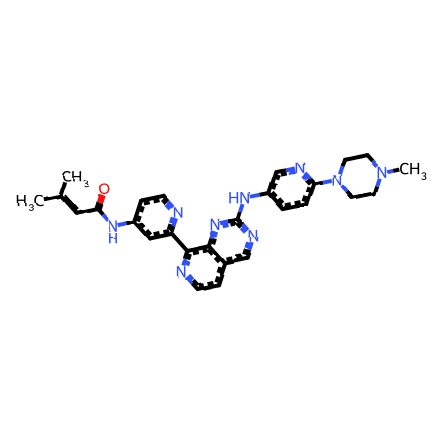 CC(C)=CC(=O)Nc1ccnc(-c2nccc3cnc(Nc4ccc(N5CCN(C)CC5)nc4)nc23)c1